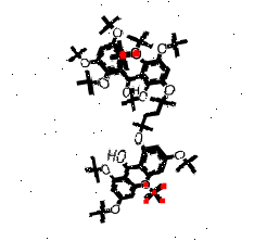 CC(C)(C)Oc1cc(OC(C)(C)C)c(C(O)c2c(OC(C)(C)C)cc(OC(C)(C)C)cc2OC(C)(C)CCC(C)(C)Oc2cc(OC(C)(C)C)c(OC(C)(C)C)c(C(O)c3c(OC(C)(C)C)c(OC(C)(C)C)cc(OC(C)(C)C)c3OC(C)(C)C)c2OC(C)(C)C)c(OC(C)(C)C)c1